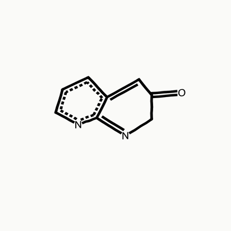 O=C1C=c2cccnc2=NC1